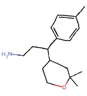 Cc1ccc(C(CCN)C2CCOC(C)(C)C2)cc1